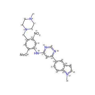 COc1cc(CN2CCN(C)CC2)c([N+](=O)[O-])cc1Nc1cc(-c2ccc3c(ccn3C)c2)ncn1